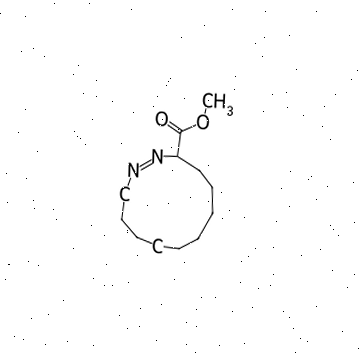 COC(=O)C1CCCCCCCCCN=N1